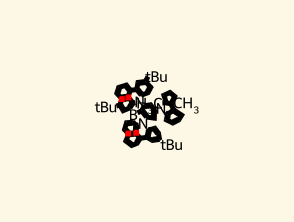 CC(C)(C)c1ccc2c(c1)B1c3ccccc3N(c3ccc(C(C)(C)C)cc3-c3ccccc3)c3cc(N4c5ccccc5C5(C)CCCC45C)cc(c31)N2c1ccc(C(C)(C)C)cc1-c1ccccc1